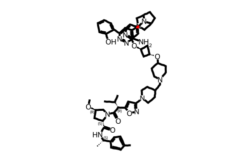 CO[C@@H]1C[C@@H](C(=O)N[C@@H](C)c2ccc(C)cc2)N(C(=O)[C@@H](c2cc(N3CCC(CN4CCC(O[C@H]5C[C@H](Oc6cc(N7C8CCC7CN(c7cc(-c9ccccc9O)nnc7N)C8)ccn6)C5)CC4)CC3)no2)C(C)C)C1